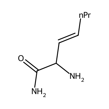 CCC/C=C/C(N)C(N)=O